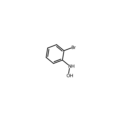 ONc1ccccc1Br